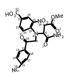 COC(=O)CC(C(N)=O)N(CC(=O)c1ccc(C#N)cc1)c1ccc(C(=O)O)cc1[N+](=O)[O-]